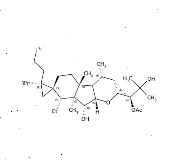 CC[C@@H]1[C@]2(CC[C@]3(C)C4[C@H](C)C[C@H]([C@H](OC(C)=O)C(C)(C)O)O[C@@H]4[C@H](O)[C@@]13C)C[C@]2(CCC(C)C)C(C)C